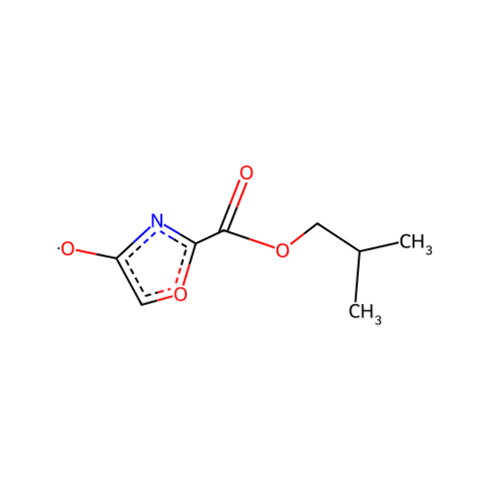 CC(C)COC(=O)c1nc([O])co1